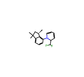 C[C@@H]1CC(C)(C)c2cccc(N3C=CC=CC3C(F)F)c21